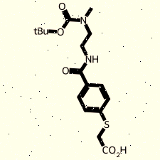 CN(CCNC(=O)c1ccc(SCC(=O)O)cc1)C(=O)OC(C)(C)C